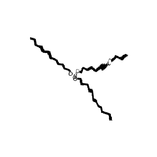 CCCCCCCCCCCC[O][Al]([O]CCCCCCCCCCCC)[O]CCCCCCCCCCCC